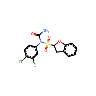 NC(=O)N(c1ccc(Cl)c(Cl)c1)S(=O)(=O)C1Cc2ccccc2O1